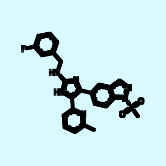 Cc1cccc(-c2[nH]c(NCc3cccc(F)c3)nc2-c2ccc3c(cnn3S(C)(=O)=O)c2)n1